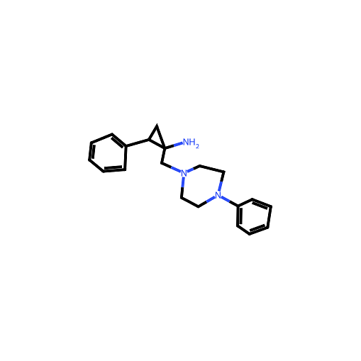 NC1(CN2CCN(c3ccccc3)CC2)CC1c1ccccc1